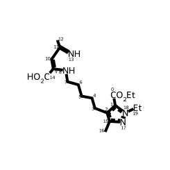 CCOC(=O)c1c(CCCCCN/C(=C\C(C)=N)C(=O)O)c(C)nn1CC